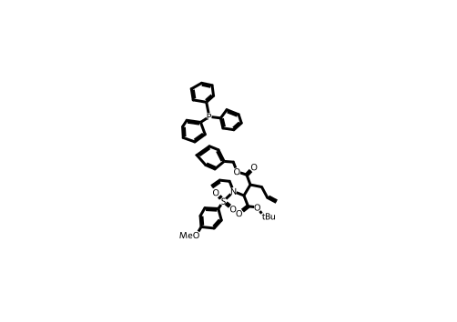 C=CCC(C(=O)OCc1ccccc1)C(C(=O)OC(C)(C)C)N(CC=C)S(=O)(=O)c1ccc(OC)cc1.c1ccc(P(c2ccccc2)c2ccccc2)cc1